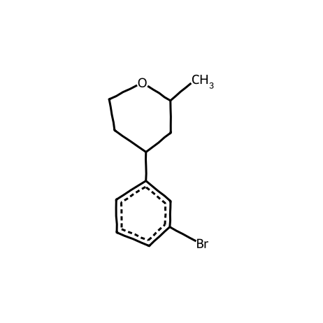 CC1CC(c2cccc(Br)c2)CCO1